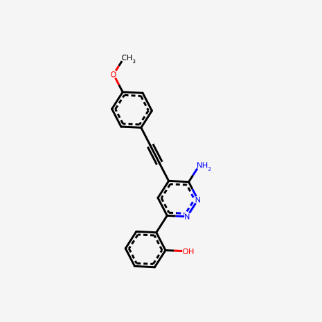 COc1ccc(C#Cc2cc(-c3ccccc3O)nnc2N)cc1